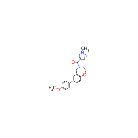 Cn1cc(C(=O)N2CCOc3ccc(-c4ccc(OC(F)(F)F)cc4)cc3C2)cn1